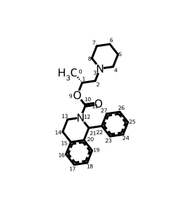 C[C@H](CN1CCCCC1)OC(=O)N1CCc2ccccc2C1c1ccccc1